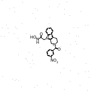 O=C(Cn1c2c(c3ccccc31)CCN(C(=O)c1cccc([N+](=O)[O-])c1)C2)NO